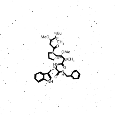 CC[C@H](C)[C@H](C)[C@@H](CC(=O)N1CCC[C@H]1[C@H](OC)[C@@H](C)C(=O)N[C@@H](Cc1c[nH]c2ccccc12)C(=O)NCc1ccccc1)OC